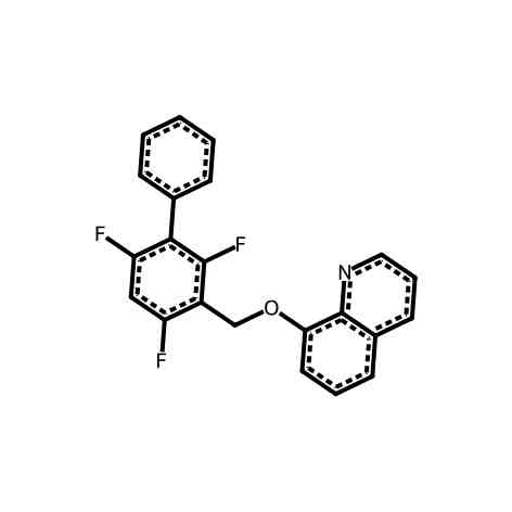 Fc1cc(F)c(-c2ccccc2)c(F)c1COc1cccc2cccnc12